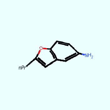 CCCc1cc2cc(N)ccc2o1